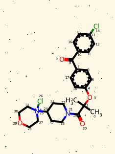 CC(C)(Oc1ccc(C(=O)c2ccc(Cl)cc2)cc1)C(=O)N1CCC([N+]2(Cl)CCOCC2)CC1